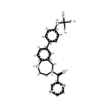 O=C(c1cnccn1)N1CCOc2ccc(-c3ccc(OC(F)(F)F)cc3)cc2C1